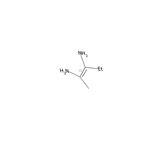 CC/C(N)=C(\C)N